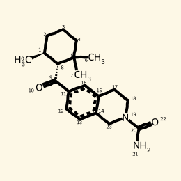 C[C@H]1CCCC(C)(C)[C@@H]1C(=O)c1ccc2c(c1)CCN(C(N)=O)C2